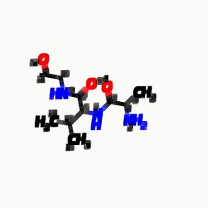 CC(N)C(=O)NC(C(=O)NC[C]=O)C(C)C